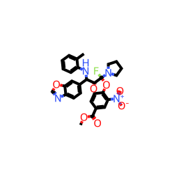 COC(=O)c1ccc(OC(F)(C(=O)C(Nc2ccccc2C)c2ccc3ncoc3c2)N2CCCC2)c([N+](=O)[O-])c1